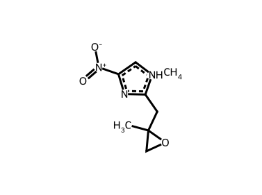 C.CC1(Cc2nc([N+](=O)[O-])c[nH]2)CO1